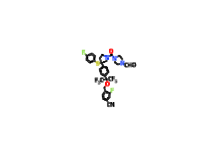 N#Cc1ccc(COC(c2ccc([C@]3(Sc4ccc(F)cc4)CCN(C(=O)N4CCN(C=O)CC4)C3)cc2)(C(F)(F)F)C(F)(F)F)c(F)c1